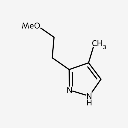 COCCc1n[nH]cc1C